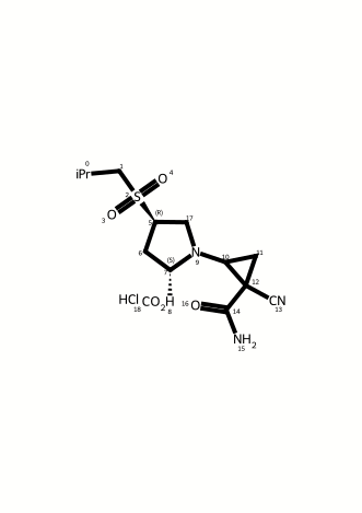 CC(C)CS(=O)(=O)[C@@H]1C[C@@H](C(=O)O)N(C2CC2(C#N)C(N)=O)C1.Cl